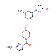 O=C(O)c1ccn(C(=O)N2CCC(OCc3cc(N4CC[C@H](O)C4)cc(C(F)(F)F)c3)CC2)n1